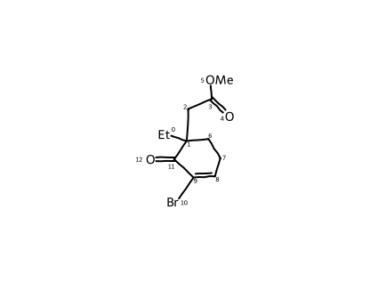 CCC1(CC(=O)OC)CCC=C(Br)C1=O